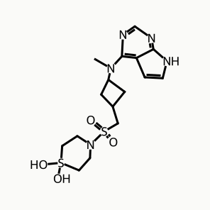 CN(c1ncnc2[nH]ccc12)C1CC(CS(=O)(=O)N2CCS(O)(O)CC2)C1